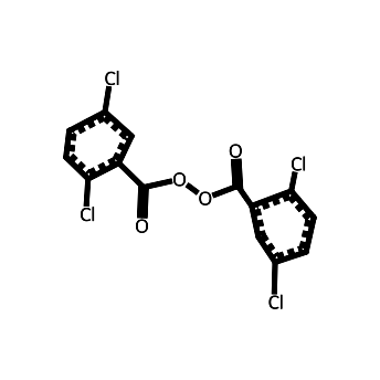 O=C(OOC(=O)c1cc(Cl)ccc1Cl)c1cc(Cl)ccc1Cl